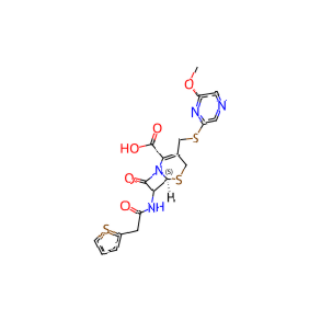 COc1cncc(SCC2=C(C(=O)O)N3C(=O)C(NC(=O)Cc4cccs4)[C@@H]3SC2)n1